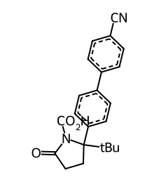 CC(C)(C)C1(c2ccc(-c3ccc(C#N)cc3)cc2)CCC(=O)N1C(=O)O